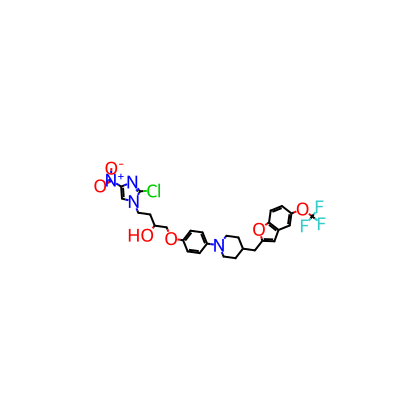 O=[N+]([O-])c1cn(CCC(O)COc2ccc(N3CCC(Cc4cc5cc(OC(F)(F)F)ccc5o4)CC3)cc2)c(Cl)n1